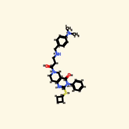 CN(C)c1ccc(CNCCC(=O)N2CCc3nc(SC4CCC4)n(-c4ccccc4)c(=O)c3C2)cc1